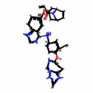 C=CC(=O)N1C2CCC1CC(Oc1ccc3ncnc(Nc4ccc(Oc5cc6ncnn6cn5)c(C)c4)c3c1)C2